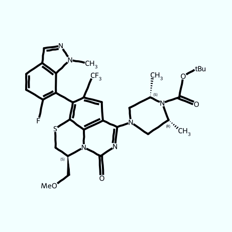 COC[C@H]1CSc2c(-c3c(F)ccc4cnn(C)c34)c(C(F)(F)F)cc3c(N4C[C@@H](C)N(C(=O)OC(C)(C)C)[C@@H](C)C4)nc(=O)n1c23